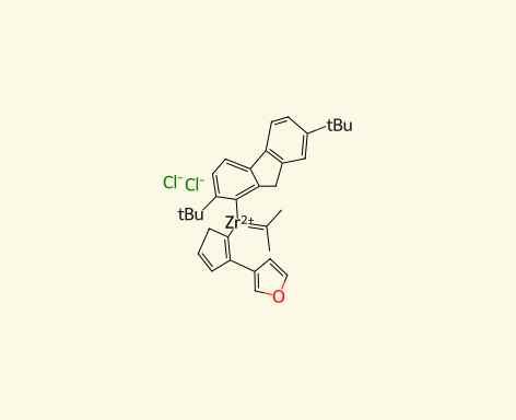 C[C](C)=[Zr+2]([C]1=C(c2ccoc2)C=CC1)[c]1c(C(C)(C)C)ccc2c1Cc1cc(C(C)(C)C)ccc1-2.[Cl-].[Cl-]